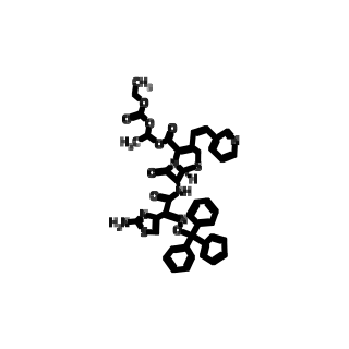 CCOC(=O)OC(C)OC(=O)C1=C(/C=C\c2cccnc2)CS[C@H]2[C@H](NC(=O)C(=NOC(c3ccccc3)(c3ccccc3)c3ccccc3)c3csc(N)n3)C(=O)N12